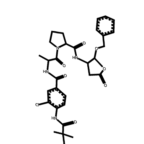 CC(NC(=O)c1ccc(NC(=O)C(C)(C)C)c(Cl)c1)C(=O)N1CCCC1C(=O)NC1CC(=O)OC1OCc1ccccc1